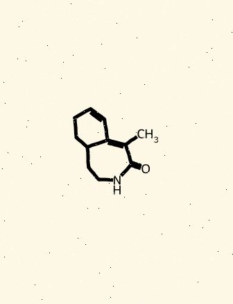 CC1=C2C=CCCC2CCNC1=O